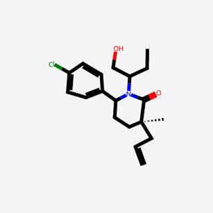 C=CC[C@@]1(C)CCC(c2ccc(Cl)cc2)N(C(CC)CO)C1=O